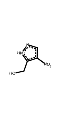 O=[N+]([O-])c1cn[nH]c1CO